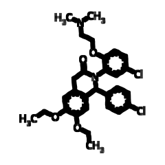 CCOc1cc2c(cc1OCC)C(c1ccc(Cl)cc1)N(c1cc(Cl)ccc1OCCN(C)C)C(=O)C2